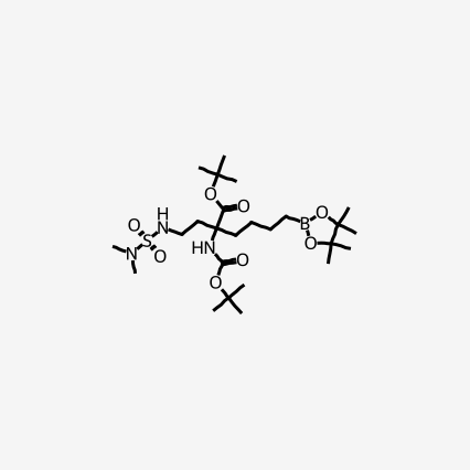 CN(C)S(=O)(=O)NCCC(CCCCB1OC(C)(C)C(C)(C)O1)(NC(=O)OC(C)(C)C)C(=O)OC(C)(C)C